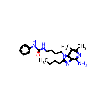 CCCCc1nc2c(N)nc(C)c(C)c2n1CCCCNC(=O)Nc1ccccc1